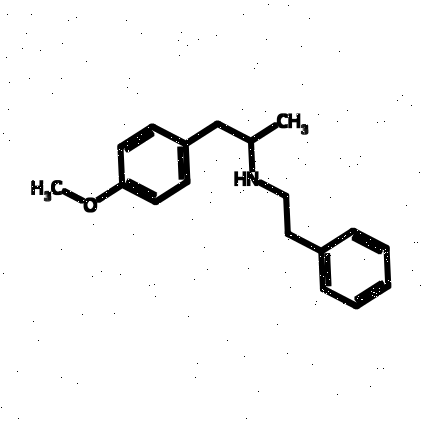 COc1ccc(CC(C)NCCc2ccccc2)cc1